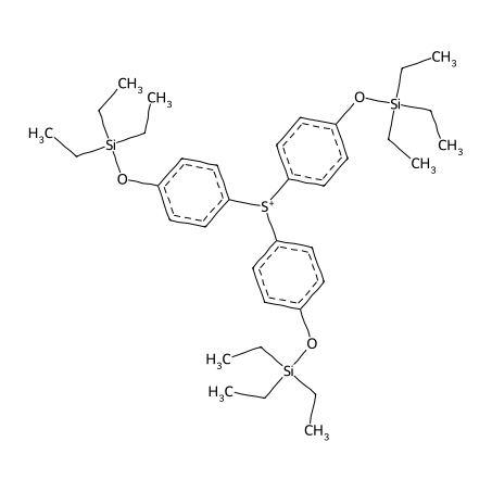 CC[Si](CC)(CC)Oc1ccc([S+](c2ccc(O[Si](CC)(CC)CC)cc2)c2ccc(O[Si](CC)(CC)CC)cc2)cc1